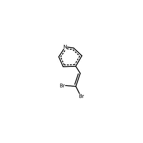 BrC(Br)=Cc1ccncc1